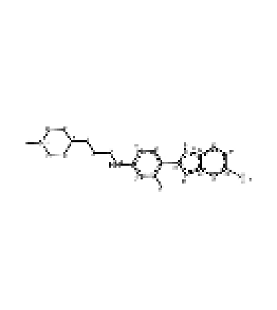 Cc1nc(NCCCC2CCN(C)CC2)ncc1-c1nc2cc(N)ccc2[nH]1